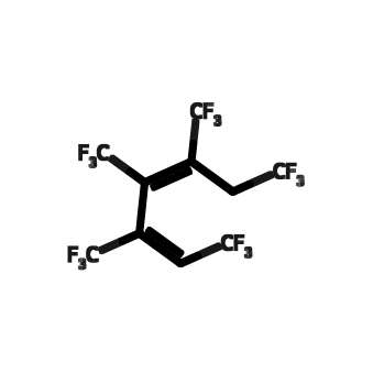 FC(F)(F)C=C(C(=C(CC(F)(F)F)C(F)(F)F)C(F)(F)F)C(F)(F)F